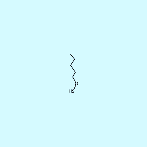 CCCCCOS